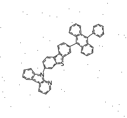 c1ccc(-c2c3ccccc3c(-c3ccc4c(c3)sc3cc(-n5c6ccccc6c6cccnc65)ccc34)c3ccccc23)cc1